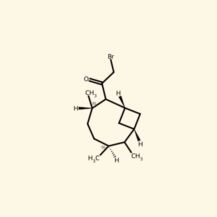 CC1[C@H]2C[C@H](C2)C(C(=O)CBr)[C@@H](C)CC[C@@H]1C